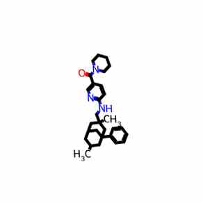 CC1CC2CC(C)(CNc3ccc(C(=O)N4CCCCC4)cn3)CC(c3ccccc3)(C1)C2